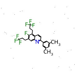 Cc1cc(C)cc(-c2ccc3c(CCC(F)(F)F)c(F)c(CCC(F)(F)F)cc3n2)c1